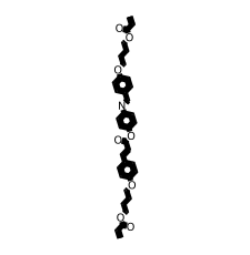 C=CC(=O)OCCCCOc1ccc(/C=C/C(=O)Oc2ccc(/N=C/c3ccc(OCCCCOC(=O)C=C)cc3)cc2)cc1